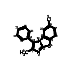 Cc1nc2sc3ccc(Cl)cc3n2c1-c1ccccc1